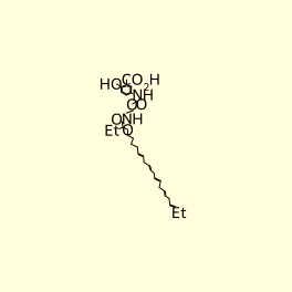 CCC=CCC=CCC=CCC=CCC=CCCCCOC(CC)C(=O)NCCOC(=O)Nc1ccc(O)c(C(=O)O)c1